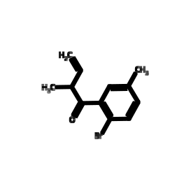 C=CC(C)C(=O)c1cc(C)ccc1Br